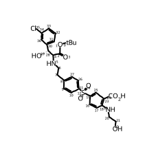 CC(C)(C)OC(=O)C(NCCc1ccc(S(=O)(=O)c2ccc(NCCO)c(C(=O)O)c2)cc1)[C@H](O)c1cccc(Cl)c1